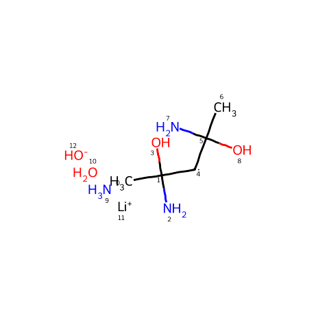 CC(N)(O)[CH]C(C)(N)O.N.O.[Li+].[OH-]